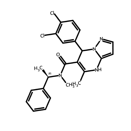 CC1=C(C(=O)N(C)[C@H](C)c2ccccc2)C(c2ccc(Cl)c(Cl)c2)n2nccc2N1